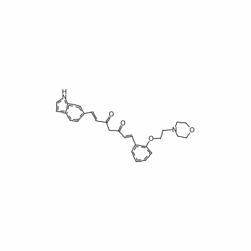 O=C(C=Cc1ccc2cc[nH]c2c1)CC(=O)C=Cc1ccccc1OCCN1CCOCC1